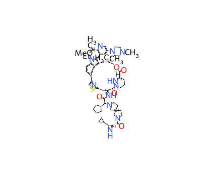 CCn1c(-c2cc(N3CCN(C)CC3)cnc2[C@H](C)OC)c2c3cc(ccc31)-c1csc(n1)C[C@H](NC(=O)C(C1CCCC1)N1CC[C@]3(CCN(C(=O)[C@@H]4NC4C4CC4)C3)C1)C(=O)N1CCC[C@H](N1)C(=O)OCC(C)(C)C2